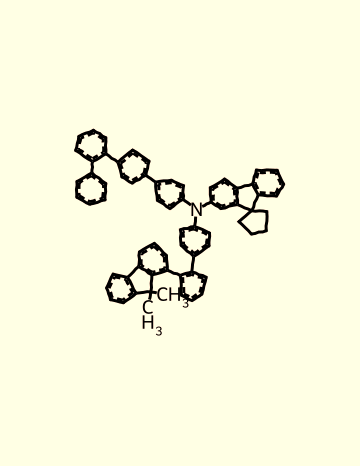 CC1(C)c2ccccc2-c2cccc(-c3ccccc3-c3ccc(N(c4ccc(-c5ccc(-c6ccccc6-c6ccccc6)cc5)cc4)c4ccc5c(c4)C4(CCCC4)c4ccccc4-5)cc3)c21